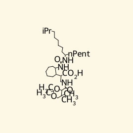 CCCCCC(CCCCCCC(C)C)NC(=O)NC1CCCCCC1C(CNC(=O)C1OC(C)(C)OCC1(C)C)C(=O)O